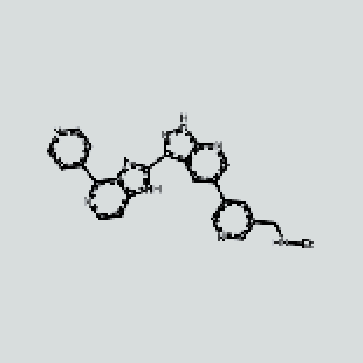 CCNCc1cncc(-c2cnc3[nH]nc(-c4nc5c(-c6ccncc6)nccc5[nH]4)c3c2)c1